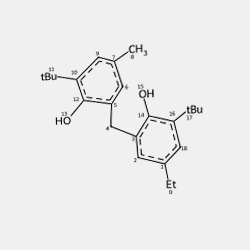 CCc1cc(Cc2cc(C)cc(C(C)(C)C)c2O)c(O)c(C(C)(C)C)c1